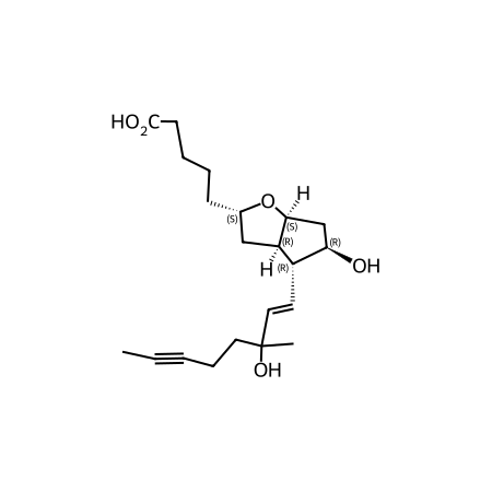 CC#CCCC(C)(O)C=C[C@@H]1[C@H]2C[C@H](CCCCC(=O)O)O[C@H]2C[C@H]1O